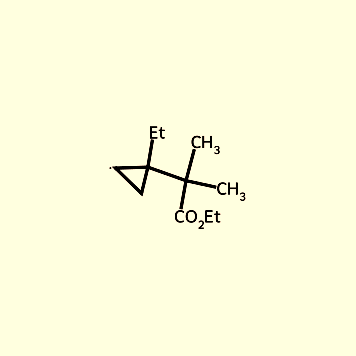 CCOC(=O)C(C)(C)C1(CC)[CH]C1